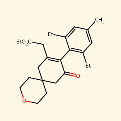 CCOC(=O)CC1=C(c2c(CC)cc(C)cc2CC)C(=O)CC2(CCOCC2)C1